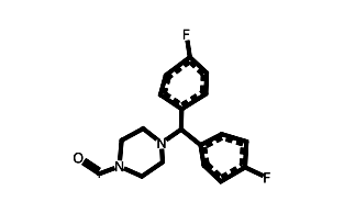 O=[C]N1CCN(C(c2ccc(F)cc2)c2ccc(F)cc2)CC1